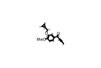 CC#CC(=O)c1ccc(OC)c(OCC2CC2)c1